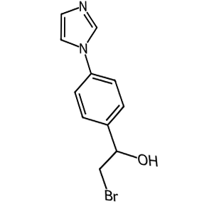 OC(CBr)c1ccc(-n2ccnc2)cc1